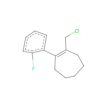 Fc1ccccc1C1=C(CCl)CCCCC1